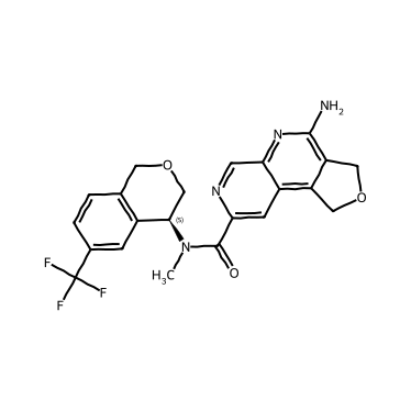 CN(C(=O)c1cc2c3c(c(N)nc2cn1)COC3)[C@@H]1COCc2ccc(C(F)(F)F)cc21